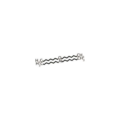 CCCCCCCCOCCCCCCCC.CCCCCCC[CH2][Al][CH2]CCCCCCC